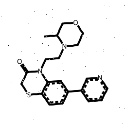 CC1COCCN1CCN1C(=O)CSc2ccc(-c3cccnc3)cc21